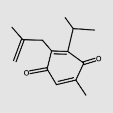 C=C(C)CC1=C(C(C)C)C(=O)C(C)=CC1=O